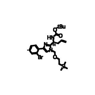 C=CC[C@H](NC(=O)OC(C)(C)C)c1nc(-c2cc[c]cc2Br)cn1COCC[Si](C)(C)C